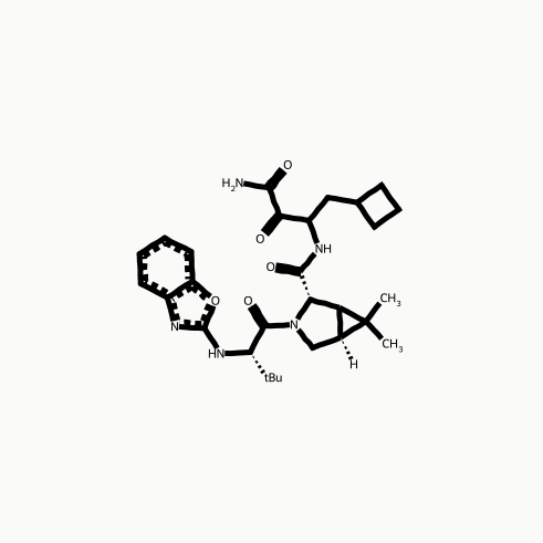 CC(C)(C)[C@H](Nc1nc2ccccc2o1)C(=O)N1C[C@H]2C([C@H]1C(=O)NC(CC1CCC1)C(=O)C(N)=O)C2(C)C